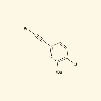 CC(C)(C)c1cc(C#CBr)c[c]c1Cl